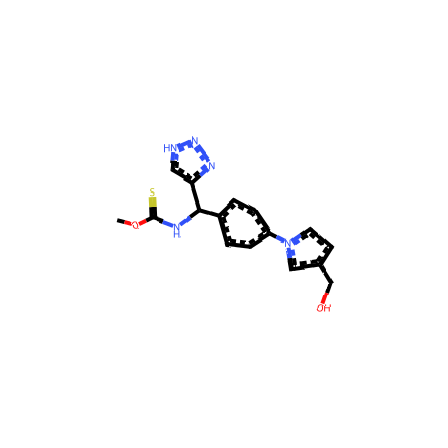 COC(=S)NC(c1ccc(-n2ccc(CO)c2)cc1)c1c[nH]nn1